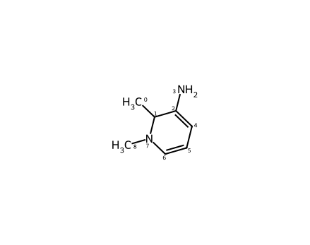 CC1C(N)=CC=CN1C